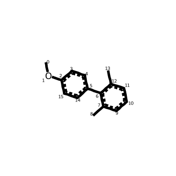 COc1ccc(-c2c(C)cccc2C)cc1